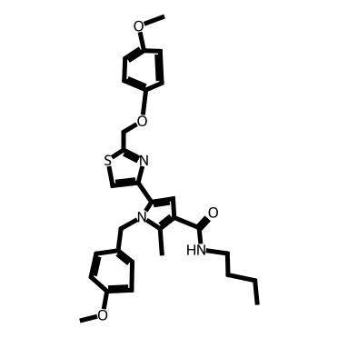 CCCCNC(=O)c1cc(-c2csc(COc3ccc(OC)cc3)n2)n(Cc2ccc(OC)cc2)c1C